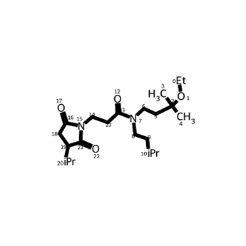 CCOC(C)(C)CCN(CCC(C)C)C(=O)CCN1C(=O)CC(C(C)C)C1=O